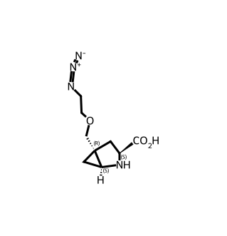 [N-]=[N+]=NCCOC[C@]12C[C@@H](C(=O)O)N[C@H]1C2